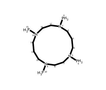 PN1CCCN(P)CCN(P)CCCN(P)CC1